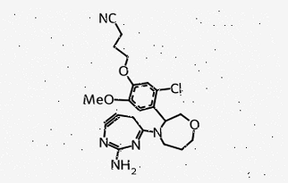 COc1cc(C2COCCCN2C2=NC(N)=NC#CC2)c(Cl)cc1OCCCC#N